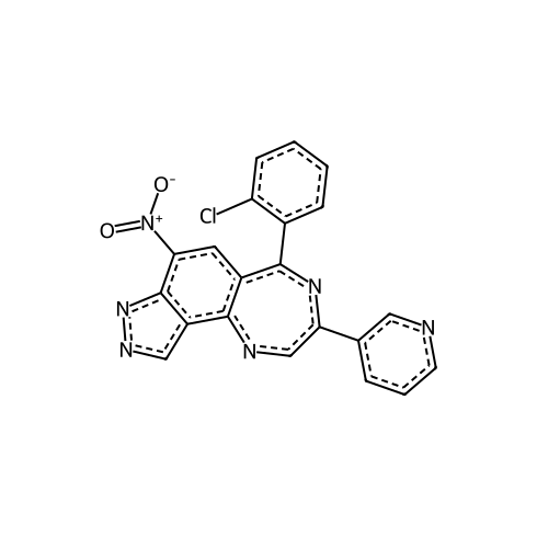 O=[N+]([O-])c1cc2c(-c3ccccc3Cl)nc(-c3cccnc3)cnc2c2cnnc12